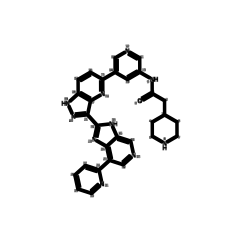 O=C(CC1CCNCC1)Nc1cncc(-c2ccc3[nH]nc(-c4nc5c(-c6ccccn6)cncc5[nH]4)c3n2)c1